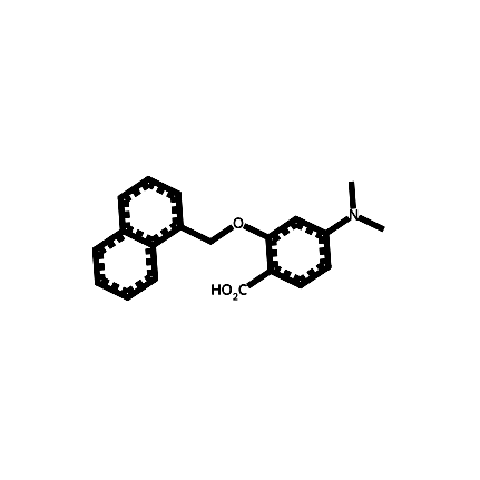 CN(C)c1ccc(C(=O)O)c(OCc2cccc3ccccc23)c1